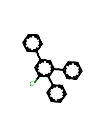 Clc1cc(-c2ccccc2)cc(-c2ccccc2)c1-c1ccccc1